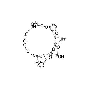 CC(C)C[C@H]1NC(=O)c2ccccc2OCc2noc(n2)CCCCCCCCNC(=O)CN(Cc2ccco2)C(=O)[C@H]2C[C@H](O)CN2C1=O